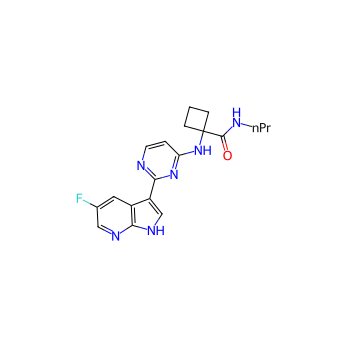 CCCNC(=O)C1(Nc2ccnc(-c3c[nH]c4ncc(F)cc34)n2)CCC1